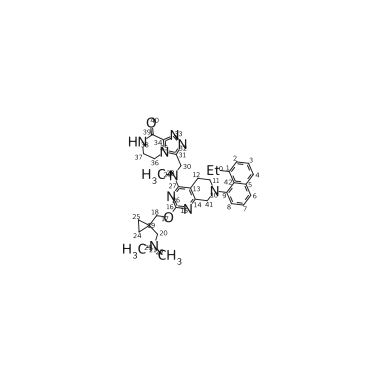 CCc1cccc2cccc(N3CCc4c(nc(OCC5(CN(C)C)CC5)nc4N(C)Cc4nnc5n4CCNC5=O)C3)c12